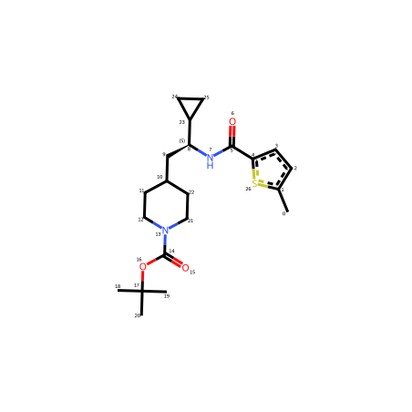 Cc1ccc(C(=O)N[C@@H](CC2CCN(C(=O)OC(C)(C)C)CC2)C2CC2)s1